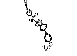 COc1ccc(-c2ccc3nc(NC(=O)C4CCN(C#N)C4)sc3c2)cc1